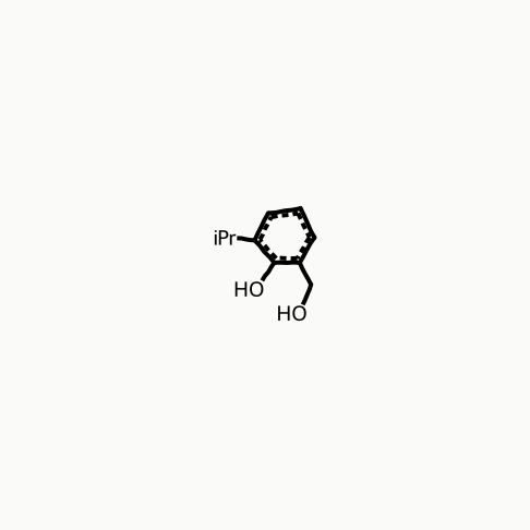 CC(C)c1cccc(CO)c1O